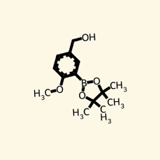 COc1ccc(CO)cc1B1OC(C)(C)C(C)(C)O1